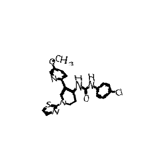 COc1ccc(C2CN(c3nccs3)CCC2NC(=O)Nc2ccc(Cl)cc2)nc1